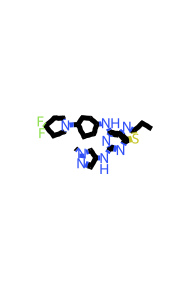 CCc1nc2c(NC3CCC(N4CCC(F)(F)CC4)CC3)nc(NC3C=NN(C)C3)nc2s1